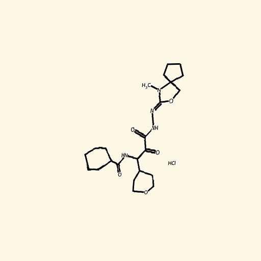 CN1/C(=N/NC(=O)C(=O)C(NC(=O)C2CCCCC2)C2CCOCC2)OCC12CCCC2.Cl